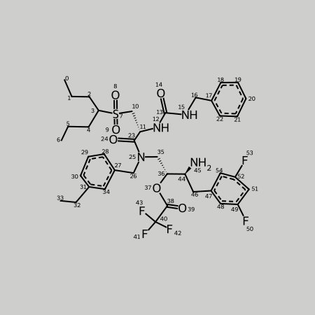 CCCC(CCC)S(=O)(=O)C[C@H](NC(=O)NCc1ccccc1)C(=O)N(Cc1cccc(CC)c1)C[C@@H](OC(=O)C(F)(F)F)[C@@H](N)Cc1cc(F)cc(F)c1